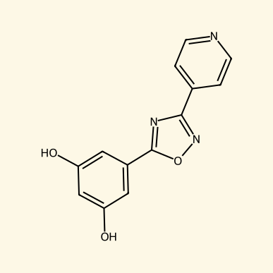 Oc1cc(O)cc(-c2nc(-c3ccncc3)no2)c1